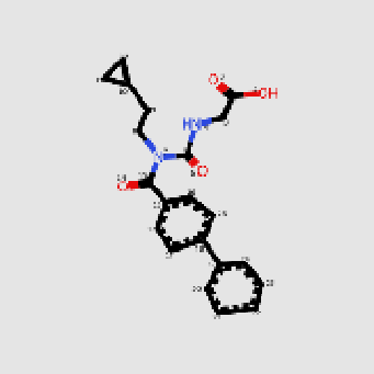 O=C(O)CNC(=O)N(CCC1CC1)C(=O)c1ccc(-c2ccccc2)cc1